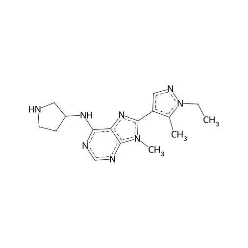 CCn1ncc(-c2nc3c(NC4CCNC4)ncnc3n2C)c1C